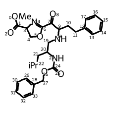 COC(=O)C1COC(C(=O)C(CCc2ccccc2)NCC(CC(C)C)NC(=O)OCc2ccccc2)=N1